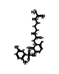 Cc1ccc(NS(=O)(=O)c2cc(Cl)ccc2O)c(=O)n1CC(=O)NCCONC(=N)N